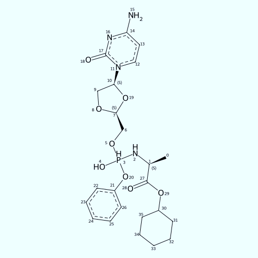 C[C@H](N[PH](O)(OC[C@H]1OC[C@@H](n2ccc(N)nc2=O)O1)Oc1ccccc1)C(=O)OC1CCCCC1